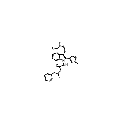 CN(CC(=O)Nn1c(-c2cnn(C)c2)c2c3c(cccc31)C(=O)NN=C2)Cc1ccccc1